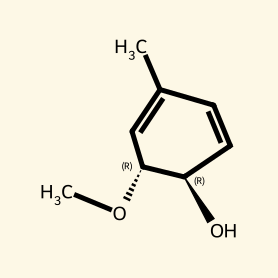 CO[C@@H]1C=C(C)C=C[C@H]1O